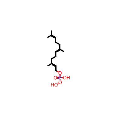 CC(C)=CCCC(C)=CCCC(C)=CCOP(=O)(O)OO